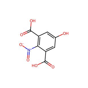 O=C(O)c1cc(O)cc(C(=O)O)c1[N+](=O)[O-]